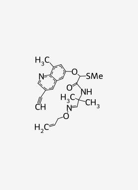 C#Cc1cnc2c(C)cc(OC(SC)C(=O)NC(C)(C)C=NOCC=C)cc2c1